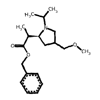 COCC1C[C@@H](C(C)C(=O)OCc2ccccc2)N(C(C)C)C1